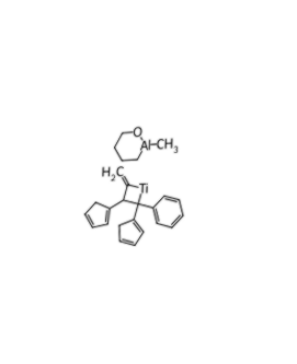 C=[C]1[Ti][C](C2=CC=CC2)(c2ccccc2)C1C1=CC=CC1.[CH3][Al]1[CH2]CCC[O]1